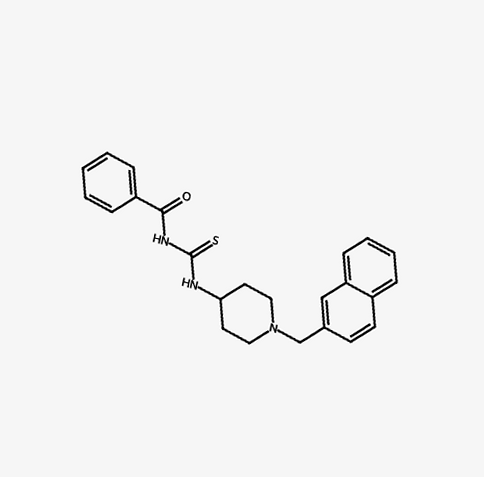 O=C(NC(=S)NC1CCN(Cc2ccc3ccccc3c2)CC1)c1ccccc1